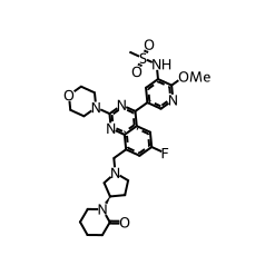 COc1ncc(-c2nc(N3CCOCC3)nc3c(CN4CC[C@@H](N5CCCCC5=O)C4)cc(F)cc23)cc1NS(C)(=O)=O